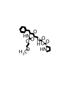 COCCOC(=O)NC(Cc1ccccc1)C(=O)CCNC(=O)OC(=O)[C@@H]1CCCN1